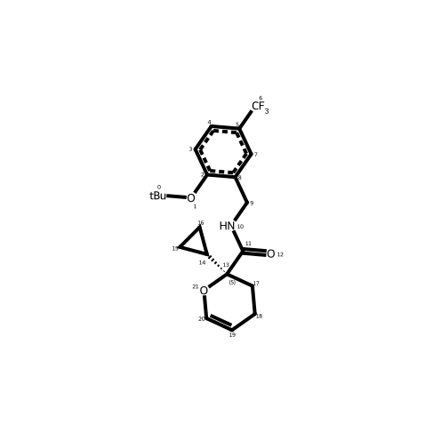 CC(C)(C)Oc1ccc(C(F)(F)F)cc1CNC(=O)[C@@]1(C2CC2)CCC=CO1